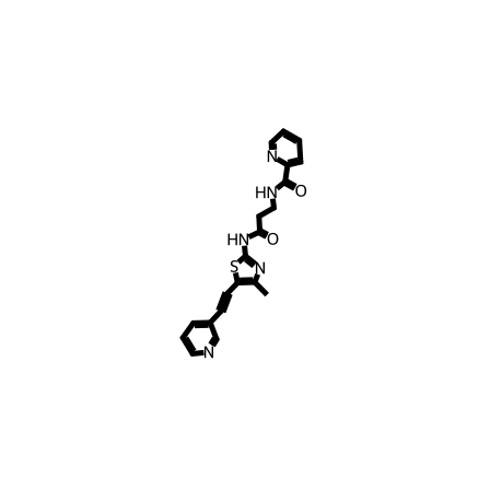 Cc1nc(NC(=O)CCNC(=O)c2ccccn2)sc1C#Cc1cccnc1